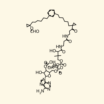 CC(C)(COP(=O)(O)OP(=O)(O)OCC1OC(n2cnc3c(N)ncnc32)C(O)C1OP(=O)(O)O)C(O)C(=O)NCCC(=O)NCCC(=O)C1(CCCCCCc2cccc(CCCCCCC3(OC=O)CC3)c2)CC1